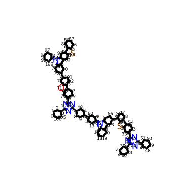 c1ccc(-c2nc(-c3ccc(-c4ccc(-n5c6ccccc6c6cc(-c7cccc8c7sc7cc(-c9nc(-c%10ccccc%10)nc(-c%10ccccc%10)n9)ccc78)ccc65)cc4)cc3)nc(-c3ccc4c(c3)oc3cc(-c5ccc6c(c5)c5cc7sc8ccccc8c7cc5n6-c5ccccc5)ccc34)n2)cc1